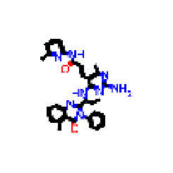 CCC(Nc1nc(N)nc(C)c1/C=C/C(=O)Nc1cccc(C)n1)c1nc2cccc(C)c2c(=O)n1-c1ccccc1